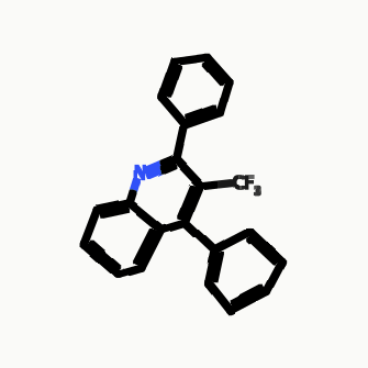 FC(F)(F)c1c(-c2ccccc2)nc2ccccc2c1-c1ccccc1